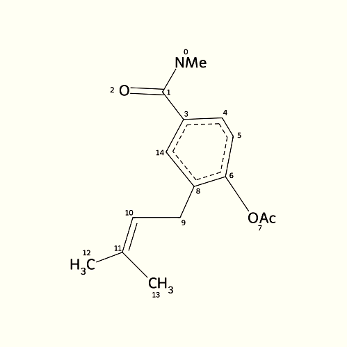 CNC(=O)c1ccc(OC(C)=O)c(CC=C(C)C)c1